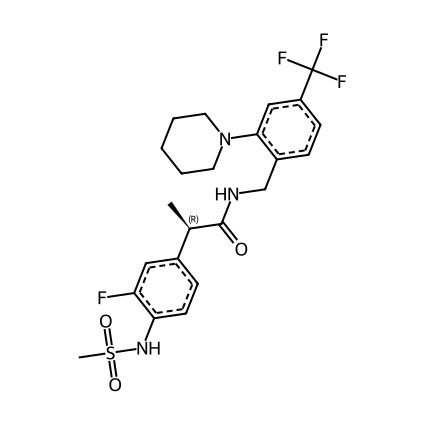 C[C@@H](C(=O)NCc1ccc(C(F)(F)F)cc1N1CCCCC1)c1ccc(NS(C)(=O)=O)c(F)c1